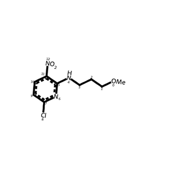 COCCCNc1nc(Cl)ccc1[N+](=O)[O-]